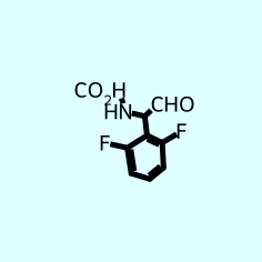 O=CC(NC(=O)O)c1c(F)cccc1F